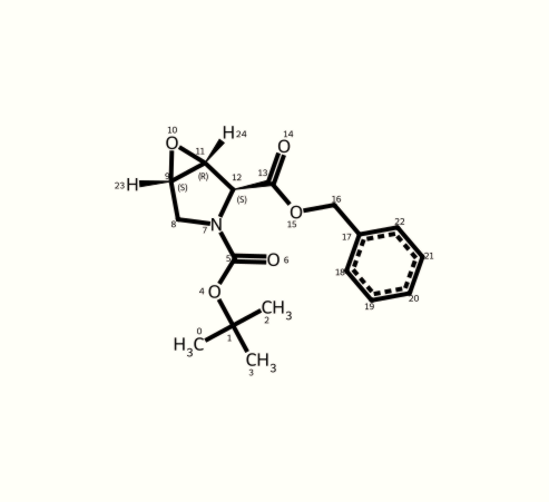 CC(C)(C)OC(=O)N1C[C@@H]2O[C@@H]2[C@H]1C(=O)OCc1ccccc1